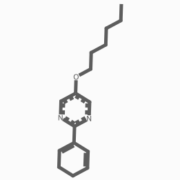 CCCCCCOc1cnc(C2=CCCC=C2)nc1